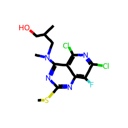 CSc1nc(N(C)CC(C)CO)c2c(Cl)nc(Cl)c(F)c2n1